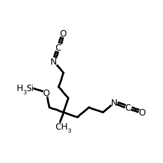 CC(CCCN=C=O)(CCCN=C=O)CO[SiH3]